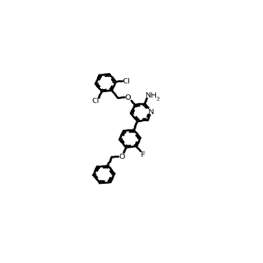 Nc1ncc(-c2ccc(OCc3ccccc3)c(F)c2)cc1OCc1c(Cl)cccc1Cl